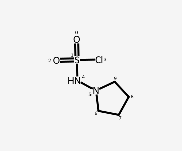 O=S(=O)(Cl)NN1CCCC1